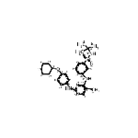 Cc1cnc(Nc2ccc(OC3CCCCC3)cc2)nc1Nc1cccc(S(=O)(=O)NC(C)(C)C)c1